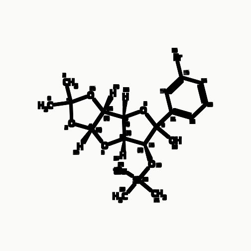 CC1(C)O[C@H]2O[C@H]3[C@H](OC(O)(c4cccc(Br)c4)[C@H]3O[Si](C)(C)C(C)(C)C)[C@H]2O1